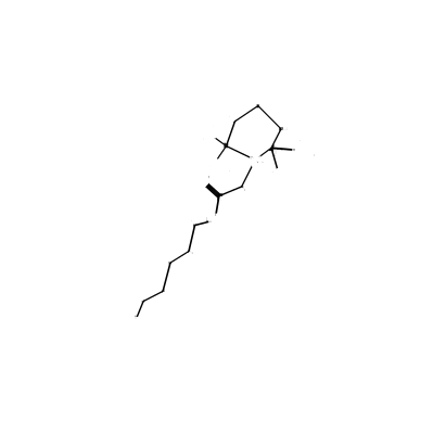 CCCCCCOC(=O)CN1C(C)(C)CCCC1(C)C